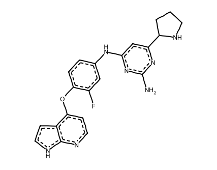 Nc1nc(Nc2ccc(Oc3ccnc4[nH]ccc34)c(F)c2)cc(C2CCCN2)n1